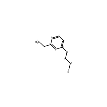 NCc1cccc(OCCF)c1